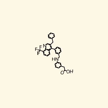 O=C(O)Cc1cccc(NCc2cccc(-c3c(Cc4ccccc4)cnc4c(C(F)(F)F)cccc34)c2)c1